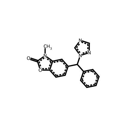 Cn1c(=O)oc2ccc(C(c3ccccc3)n3cncn3)cc21